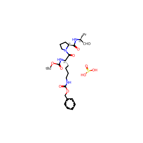 CC(C)[C@@H](C=O)NC(=O)[C@@H]1CCCN1C(=O)[C@H](CCCCNC(=O)OCc1ccccc1)NC(=O)OC(C)(C)C.O=S(O)O